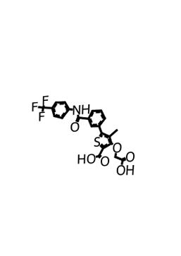 Cc1c(-c2cccc(C(=O)Nc3ccc(C(F)(F)F)cc3)c2)sc(C(=O)O)c1OCC(=O)O